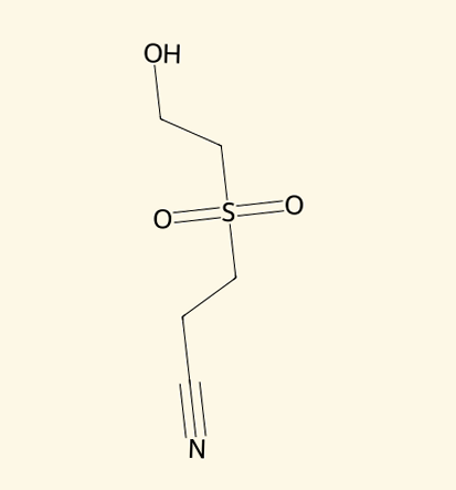 N#CCCS(=O)(=O)CCO